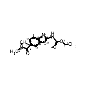 CCOC(=O)Nc1nc2ccc(C(=O)N(C)C)cc2s1